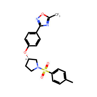 Cc1ccc(S(=O)(=O)N2CC[C@H](Oc3ccc(-c4noc(C(F)(F)F)n4)cc3)C2)cc1